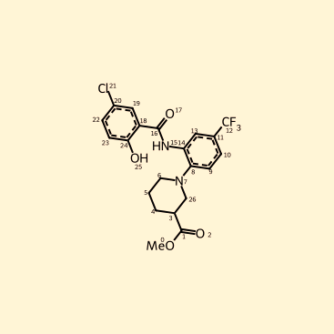 COC(=O)C1CCCN(c2ccc(C(F)(F)F)cc2NC(=O)c2cc(Cl)ccc2O)C1